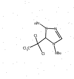 CCCCN1C=NN(CCC)C1C(Cl)(Cl)C(Cl)(Cl)Cl